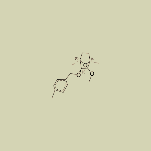 COC1[C@@H](OCc2ccc(C)cc2)[C@@]2(C)CC[C@]1(C)O2